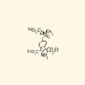 CCOC(=O)c1c2ccc(CC(=O)N(C)OCC(=O)O)ccc-2c(C(=O)OCC)c1N